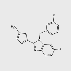 Cc1ccc(-c2nc3ccc(F)cc3n2Cc2cccc(F)c2)s1